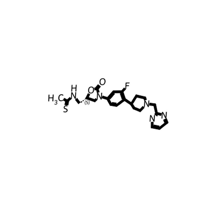 CC(=S)NC[C@H]1CN(c2ccc(C3CCN(Cc4ncccn4)CC3)c(F)c2)C(=O)O1